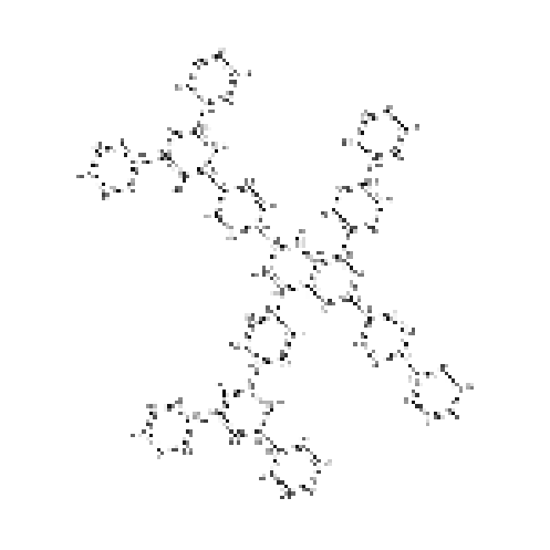 c1ccc(-c2ccc(-c3cc(-c4ccc(-c5ccccc5)cc4)c4nc(-c5ccc(-c6nc(-c7ccccc7)cc(-c7ccccc7)n6)cc5)nc(-c5ccc(-c6nc(-c7ccccc7)cc(-c7ccccc7)n6)cc5)c4c3)cc2)cc1